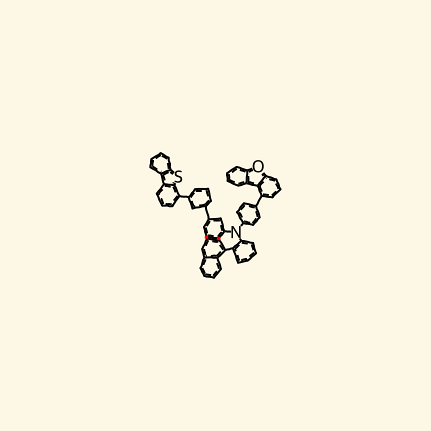 c1cc(-c2cccc(N(c3ccc(-c4cccc5oc6ccccc6c45)cc3)c3ccccc3-c3cccc4ccccc34)c2)cc(-c2cccc3c2sc2ccccc23)c1